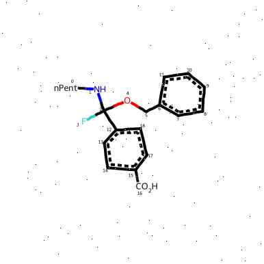 CCCCCNC(F)(OCc1ccccc1)c1ccc(C(=O)O)cc1